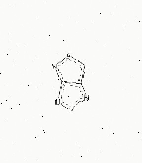 c1nc2csnc2o1